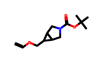 C=COCC1C2CN(C(=O)OC(C)(C)C)CC12